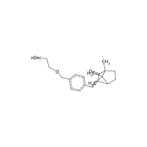 CCCCCCCCCCCCOCc1ccc(/C=C2\C(=O)C3(C)CCC2C3(C)C)cc1